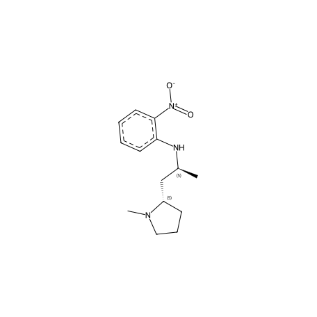 C[C@@H](C[C@@H]1CCCN1C)Nc1ccccc1[N+](=O)[O-]